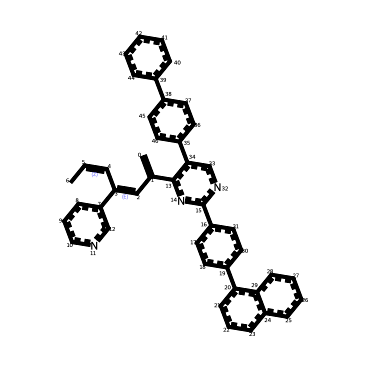 C=C(/C=C(\C=C/C)c1cccnc1)c1nc(-c2ccc(-c3cccc4ccccc34)cc2)ncc1-c1ccc(-c2ccccc2)cc1